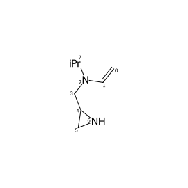 C=CN(CC1CN1)C(C)C